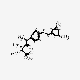 COC(=O)C(C)N(C)C(=O)C(C)c1ccc(OCc2cc(C)cc(C)c2)cc1